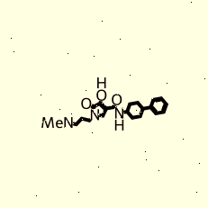 CNCCCN1CC(C(=O)NC2CCC(c3ccccc3)CC2)=C(O)C1=O